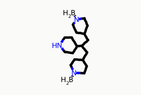 BN1CCC(CC(CC2CCN(B)CC2)C2CCNCC2)CC1